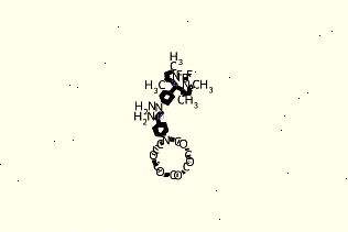 CC1=CC(C)=N/C1=C(/c1ccc(N(N)/C=C(\N)c2ccc(N3CCOCCOCCOCCOCCOCC3)cc2)cc1)c1c(C)cc(C)n1B(F)F